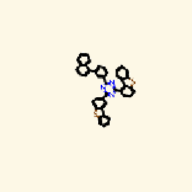 c1cc(-c2nc(-c3ccc4sc5ccccc5c4c3)nc(-c3cccc4sc5ccccc5c34)n2)cc(-c2cccc3ccccc23)c1